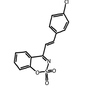 O=S1(=O)N=C(C=Cc2ccc(Cl)cc2)c2ccccc2O1